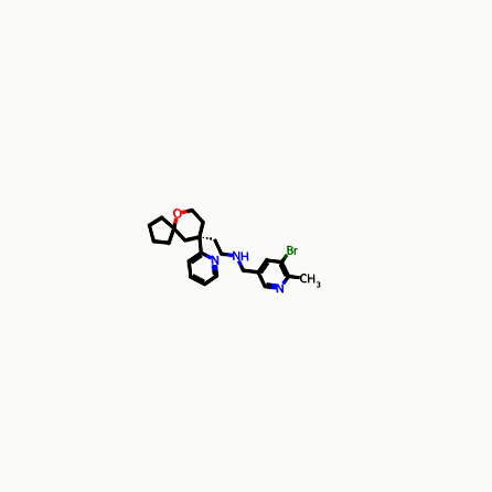 Cc1ncc(CNCC[C@@]2(c3ccccn3)CCOC3(CCCC3)C2)cc1Br